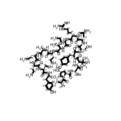 CC[C@H](C)[C@H](NC(=O)[C@@H]1C[C@@H](O)CN1C(=O)[C@@H](N)C(C)C)C(=O)N[C@H](C(=O)N[C@@H](Cc1ccc(O)cc1)C(=O)N[C@@H](CO)C(=O)N[C@@H](CC(N)=O)C(=O)N[C@@H](CCCNC(=N)N)C(=O)N[C@@H](CCN)C(=O)N[C@H](C(=O)N[C@H](CCN)C(=O)N[C@@H](C)C(=O)N[C@@H](CCN)C(=O)N[C@@H](CCN)C(=O)N[C@@H](CS)C(=O)N[C@@H](Cc1ccc(O)cc1)C(=O)O)[C@@H](C)O)C(C)(C)S